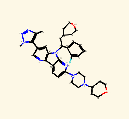 Cc1nnn(C)c1-c1cnc2c3ccc(N4CCN(C5CCOCC5)CC4)nc3n(C(CC3CCOCC3)c3ccccc3F)c2c1